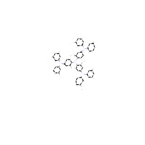 [C-]#[N+]c1cc(N(c2cccc(C(F)(F)F)c2)c2cccc(C(F)(F)F)c2)ccc1N(c1ccc(N(c2cccc(C(F)(F)F)c2)c2cccc(C(F)(F)F)c2)cc1C#N)c1ccc(N(c2cccc(C(F)(F)F)c2)c2cccc(C(F)(F)F)c2)cc1C#N